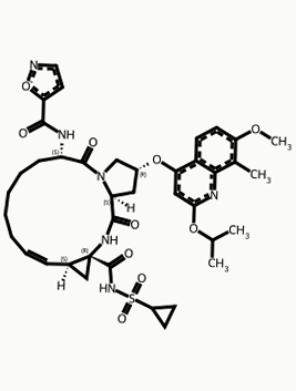 COc1ccc2c(O[C@@H]3C[C@H]4C(=O)N[C@]5(C(=O)NS(=O)(=O)C6CC6)C[C@H]5C=CCCCCC[C@H](NC(=O)c5ccno5)C(=O)N4C3)cc(OC(C)C)nc2c1C